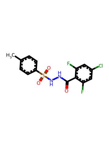 Cc1ccc(S(=O)(=O)NNC(=O)c2c(F)cc(Cl)cc2F)cc1